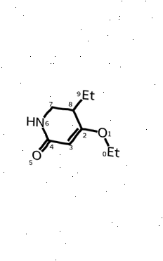 CCOC1=CC(=O)NCC1CC